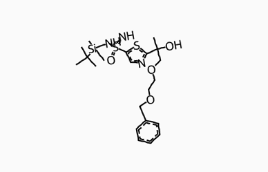 CC(O)(COCCOCc1ccccc1)c1ncc(S(=N)(=O)N[Si](C)(C)C(C)(C)C)s1